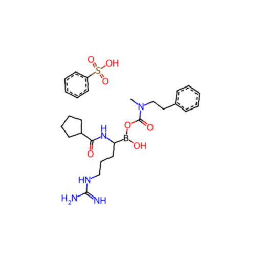 CN(CCc1ccccc1)C(=O)OB(O)C(CCCNC(=N)N)NC(=O)C1CCCC1.O=S(=O)(O)c1ccccc1